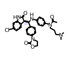 CC(=O)N(CCCN(C)C)c1ccc(N/C(=C2\C(=O)Nc3cc(Cl)ccc32)c2ccc(N3CCOC3=O)cc2)cc1